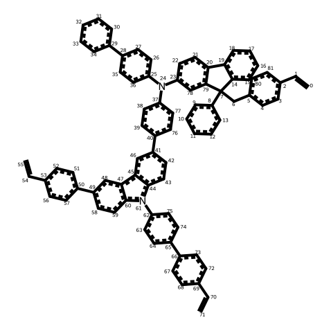 C=Cc1ccc(CC2(c3ccccc3)c3ccccc3-c3ccc(N(c4ccc(-c5ccccc5)cc4)c4ccc(-c5ccc6c(c5)c5cc(-c7ccc(C=C)cc7)ccc5n6-c5ccc(-c6ccc(C=C)cc6)cc5)cc4)cc32)cc1